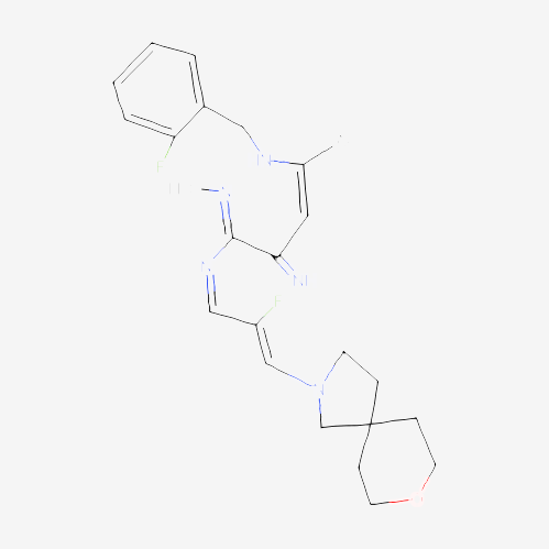 C\N=C(/N=C\C(F)=C\N1CCC2(CCOCC2)C1)C(=N)/C=C(\NCc1ccccc1F)C(C)=O